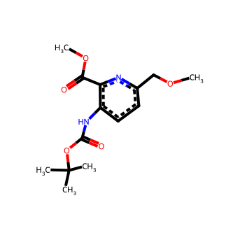 COCc1ccc(NC(=O)OC(C)(C)C)c(C(=O)OC)n1